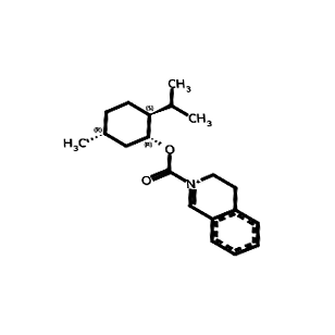 CC(C)[C@@H]1CC[C@@H](C)C[C@H]1OC(=O)[N+]1=Cc2ccccc2CC1